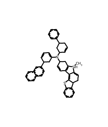 C[SiH]1C2=CCC3C(=C2C2=C1CC(N(C1=CC=CC(c4ccc5ccccc5c4)C1)C1C=CCC(c4ccccc4)C1)C=C2)Sc1ccccc13